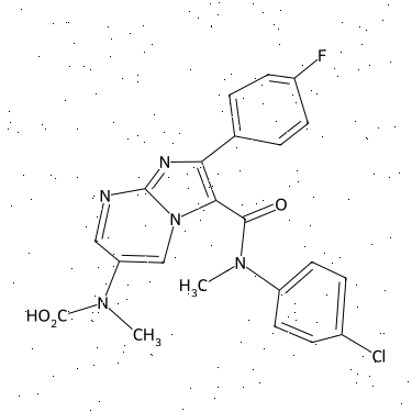 CN(C(=O)O)c1cnc2nc(-c3ccc(F)cc3)c(C(=O)N(C)c3ccc(Cl)cc3)n2c1